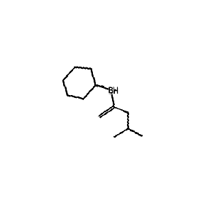 C=C(BC1CCCCC1)CC(C)C